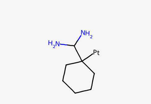 NC(N)[C]1([Pt])CCCCC1